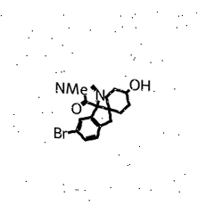 C=NC1(C(=O)NC)c2cc(Br)ccc2CC12CCC(O)CC2